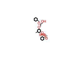 Cc1cc(OCC(CO)OCc2ccccc2)cc(OS(=O)(=O)c2ccccc2S(C)(=O)=O)c1